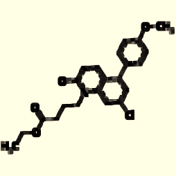 CCOC(=O)CCCn1c(=O)ccc2c(-c3ccc(OC)cc3)cc(Cl)cc21